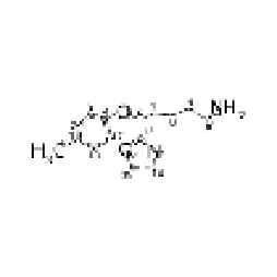 Cc1ccc(OC(CCCCN)c2ncco2)cc1